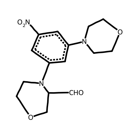 O=CC1COCCN1c1cc(N2CCOCC2)cc([N+](=O)[O-])c1